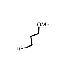 [CH2]OCCCCCC